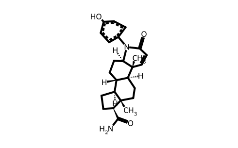 C[C@]12C=CC(=O)N(c3ccc(O)cc3)[C@@H]1CC[C@@H]1[C@@H]2CC[C@]2(C)[C@@H](C(N)=O)CC[C@@H]12